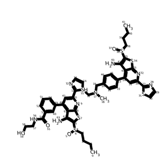 CCCC[S+]([O-])c1sc2nc(C3=NC=C[SH]3CN(C)Cc3ccc(-c4cc(-c5nccs5)nc5sc([S+]([O-])CCCC)c(N)c45)cc3)cc(-c3cccc(C(=O)NCCO)c3)c2c1N